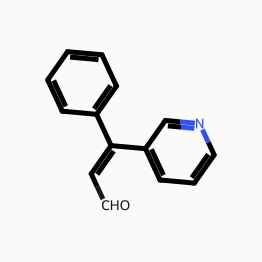 O=CC=C(c1ccccc1)c1cccnc1